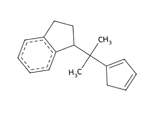 CC(C)(C1=CC=CC1)C1CCc2ccccc21